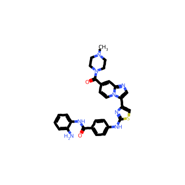 CN1CCN(C(=O)c2ccn3c(-c4csc(Nc5ccc(C(=O)Nc6ccccc6N)cc5)n4)cnc3c2)CC1